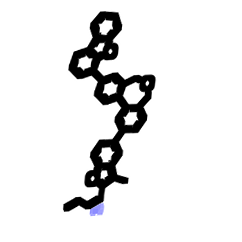 C=C/C=C\c1oc2ccc(-c3ccc4c(c3)-c3ccc(-c5cccc6c5oc5ccccc56)cc3COC4)cc2c1C